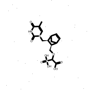 Cc1cn(C[C@H]2C3C=CC(C3)[C@H]2COC(C(=O)O)P(=O)(O)O)c(=O)[nH]c1=O